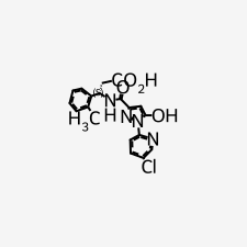 Cc1ccccc1[C@H](CC(=O)O)NC(=O)c1cc(O)n(-c2ccc(Cl)cn2)n1